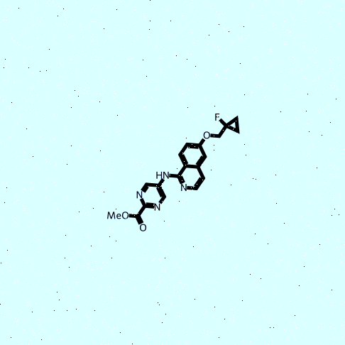 COC(=O)c1ncc(Nc2nccc3cc(OCC4(F)CC4)ccc23)cn1